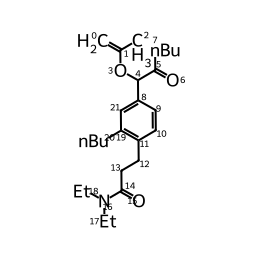 C=C(C)OC(C(=O)CCCC)c1ccc(CCC(=O)N(CC)CC)c(CCCC)c1